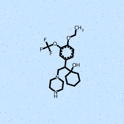 CCOc1ccc(C(CN2CCNCC2)C2(O)CCCCC2)cc1OC(F)(F)F